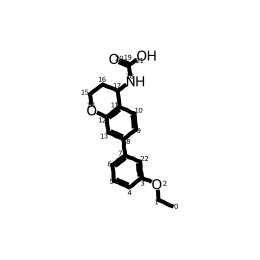 CCOc1cccc(-c2ccc3c(c2)OCCC3NC(=O)O)c1